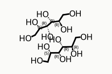 OC[C@@H](O)[C@@H](O)[C@H](O)[C@@H](O)CO.OC[C@@H](O)[C@@H](O)[C@H](O)[C@@H](O)CO